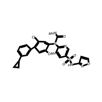 CNC(=O)N(c1ccc(S(=O)(=O)Nc2ccon2)cn1)c1cc(Cl)c(-c2cccc(C3CC3)c2)cc1OC